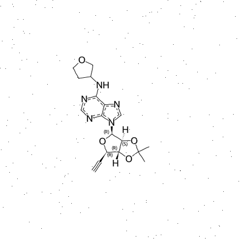 C#C[C@H]1O[C@@H](n2cnc3c(NC4CCOC4)ncnc32)[C@H]2OC(C)(C)O[C@@H]21